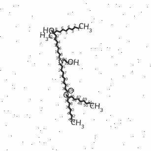 CCCCCCCCCC(C)(O)CCCCCCCCN(CCO)CCCCCCCCCC(=O)OC(CCCCCCCC)CCCCCCCC